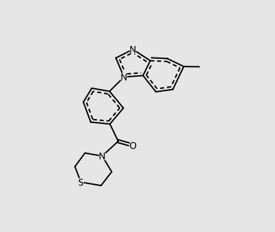 Cc1ccc2c(c1)ncn2-c1cccc(C(=O)N2CCSCC2)c1